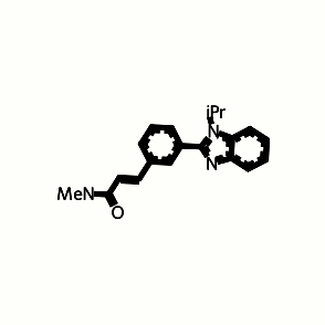 CNC(=O)/C=C/c1cccc(-c2nc3ccccc3n2C(C)C)c1